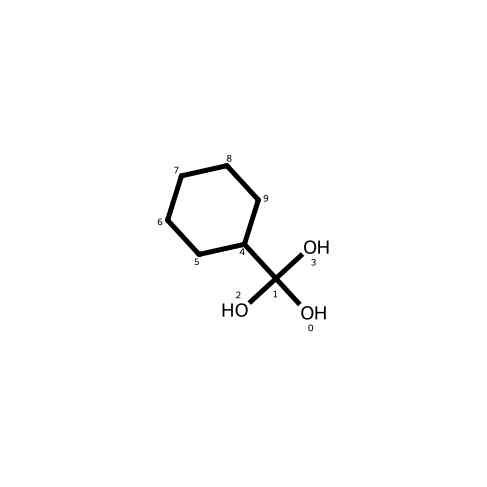 OC(O)(O)C1CCCCC1